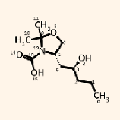 CCC[C@H](O)C[C@H]1COC(C)(C)N1C(=O)O